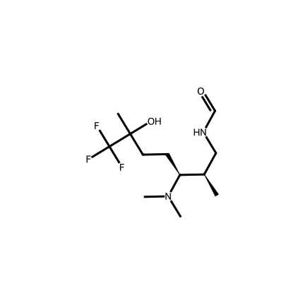 C[C@H](CNC=O)[C@H](CCC(C)(O)C(F)(F)F)N(C)C